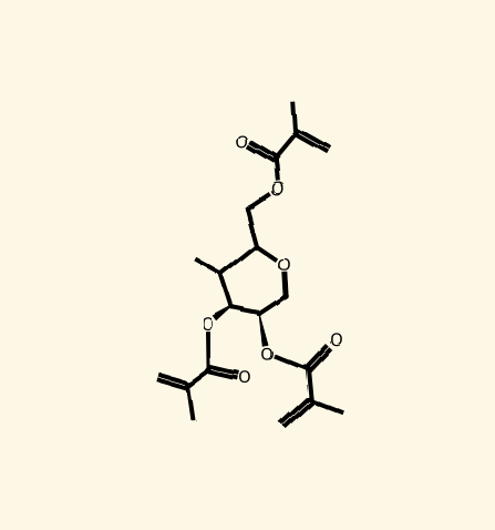 C=C(C)C(=O)OCC1OC[C@@H](OC(=O)C(=C)C)[C@@H](OC(=O)C(=C)C)C1C